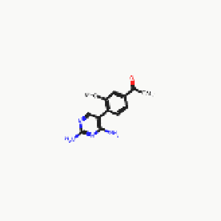 COC(=O)c1ccc(-c2cnc(N)nc2N)c(OC)c1